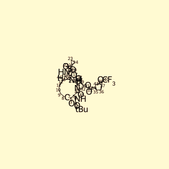 CC(C)(C)OC(=O)N[C@H]1CCCCC/C=C\[C@@H]2C[C@@]2(C(=O)NS(=O)(=O)C2CC2)NC(=O)[C@@H]2C[C@@H](OC(=O)c3cccc(OC(F)(F)F)c3)CN2C1=O